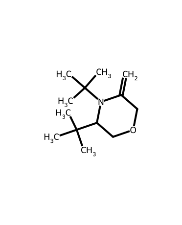 C=C1COCC(C(C)(C)C)N1C(C)(C)C